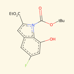 CCOC(=O)c1cc2cc(F)cc(O)c2n1C(=O)OC(C)(C)C